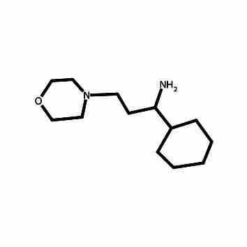 NC(CCN1CCOCC1)C1CCCCC1